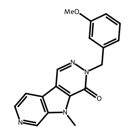 COc1cccc(Cn2ncc3c4ccncc4n(C)c3c2=O)c1